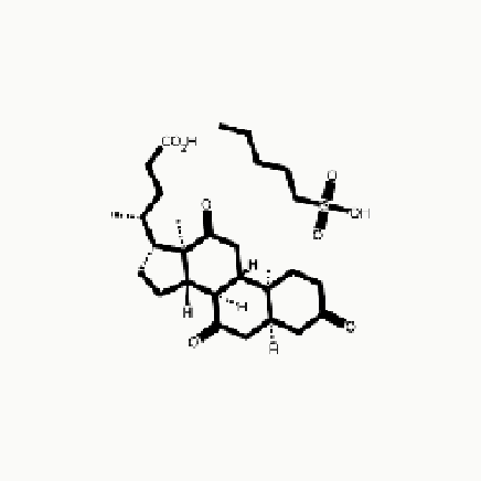 CCCCCS(=O)(=O)O.C[C@H](CCC(=O)O)[C@H]1CC[C@H]2[C@@H]3C(=O)C[C@@H]4CC(=O)CC[C@]4(C)[C@H]3CC(=O)[C@]12C